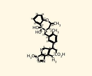 Cc1ccc(C(CC(=O)O)c2cnc3c(nnn3C)c2C)cc1CN1CC(C)Oc2ccccc2S1(O)O